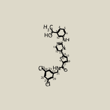 CC(O)c1cccc(Nc2nccc(-c3ccc(C(=O)NCc4cc(Cl)cc(Cl)c4)s3)n2)c1